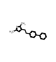 Cc1cc(CCc2ccc(-c3ccccc3)cc2)c(C)s1